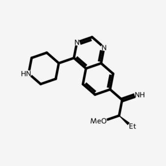 CC[C@@H](OC)C(=N)c1ccc2c(C3CCNCC3)ncnc2c1